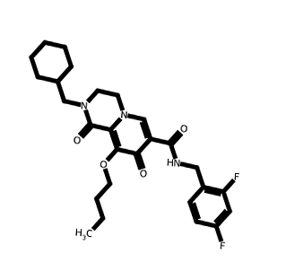 CCCCOc1c2n(cc(C(=O)NCc3ccc(F)cc3F)c1=O)CCN(CC1CCCCC1)C2=O